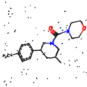 CC1CC(c2ccc(C(F)(F)F)cc2)CN(C(=O)N2CCOCC2)C1